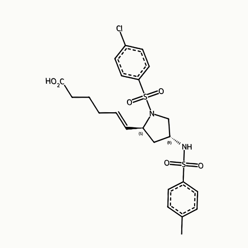 Cc1ccc(S(=O)(=O)N[C@@H]2C[C@@H](C=CCCCC(=O)O)N(S(=O)(=O)c3ccc(Cl)cc3)C2)cc1